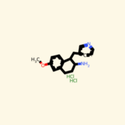 COc1ccc2c(c1)CCC(N)C2Cc1cccnc1.Cl.Cl